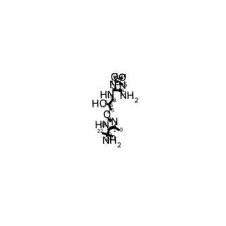 Cc1nc(OCC(O)CNC2=NS(=O)(=O)N=C2N)[nH]c1C(C)(C)N